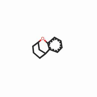 c1ccc2c(c1)OC1CCCC2C1